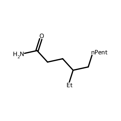 CCCCCCC(CC)CCC(N)=O